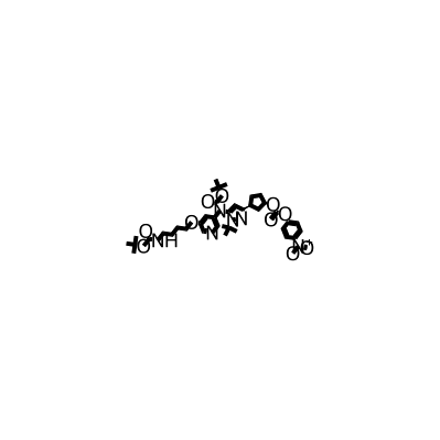 CC(C)(C)OC(=O)NCCCCOc1cncc(N(C(=O)OC(C)(C)C)c2cc([C@H]3CC[C@@H](OC(=O)Oc4ccc([N+](=O)[O-])cc4)C3)nn2C(C)(C)C)c1